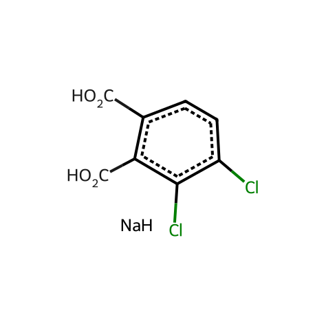 O=C(O)c1ccc(Cl)c(Cl)c1C(=O)O.[NaH]